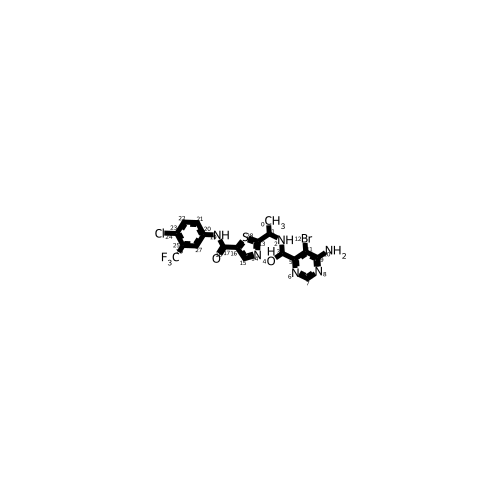 CC(NC(O)c1ncnc(N)c1Br)c1ncc(C(=O)Nc2ccc(Cl)c(C(F)(F)F)c2)s1